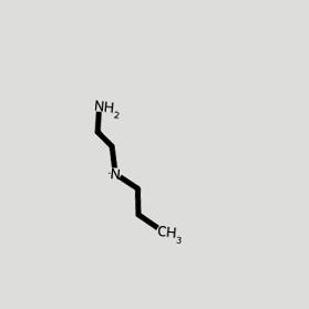 CCC[N]CCN